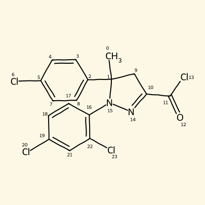 CC1(c2ccc(Cl)cc2)CC(C(=O)Cl)=NN1c1ccc(Cl)cc1Cl